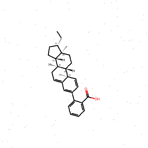 CC[C@H]1CC[C@H]2[C@@H]3CC=C4C=C(c5ccccc5C(=O)O)C=C[C@]4(C)[C@H]3CC[C@]12C